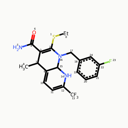 CCSC1=C(C(N)=O)C(C)C2=CC=C(C(F)(F)F)NC2N1Cc1cccc(F)c1